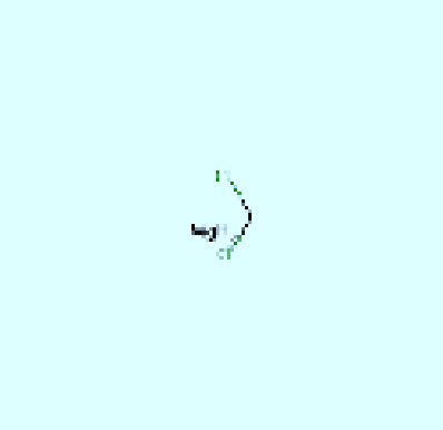 ClCCl.[MgH2]